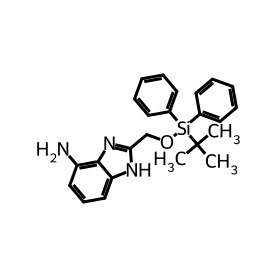 CC(C)(C)[Si](OCc1nc2c(N)cccc2[nH]1)(c1ccccc1)c1ccccc1